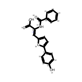 O=C(O)/C(=C/c1ccc(-c2ccc(O)cc2)o1)NC(=O)c1ccccc1